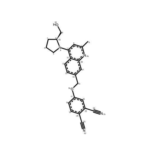 Cc1cc(N2CCC[C@H]2CO)c2ccc(COc3ccc(C#N)c(C#N)c3)cc2n1